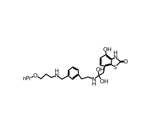 CCCOCCCNCc1cccc(CCNC(O)(O)Cc2ccc(O)c3[nH]c(=O)sc23)c1